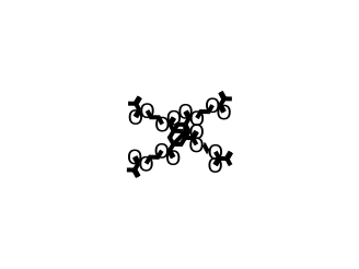 C=C(C)C(=O)OCCOC(=O)C12CC3(C(=O)OCCOC(=O)C(=C)C)CC(C(=O)OCCOC(=O)C(=C)C)(C1)CC(C(=O)OCCOC(=O)C(=C)C)(C2)C3